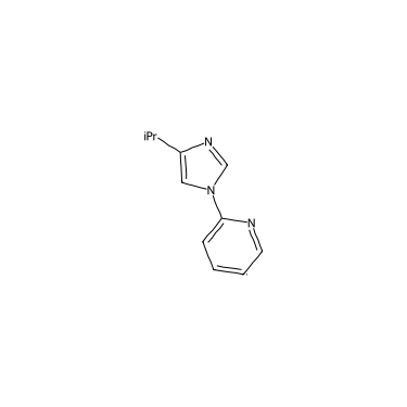 CC(C)c1cn(-c2cc[c]cn2)cn1